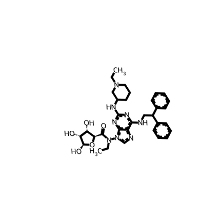 CCN1CCCC(Nc2nc(NCC(c3ccccc3)c3ccccc3)c3ncn(N(CC)C(=O)[C@H]4O[C@@H](O)[C@H](O)[C@@H]4O)c3n2)C1